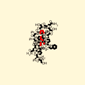 CC[C@H](C)[C@H](NC(=O)[C@H](CC(N)=O)NC(=O)[C@H](CCC(N)=O)NC(=O)[C@@H]1CCCN1C(=O)[C@H](CC(C)C)NC(=O)[C@@H](N)CO)C(=O)N1CCC[C@H]1C(=O)N1CCC[C@H]1C(=O)N[C@@H](CC(C)C)C(=O)N[C@H](C(=O)N[C@@H](CCC(N)=O)C(=O)N[C@H](C(=O)N1CCC[C@H]1C(=O)N[C@H](C(=O)N[C@H](C(=O)N[C@H](C(=O)N1CCC[C@H]1C(=O)N1CCC[C@H]1C(=O)N[C@@H](Cc1ccccc1)C(=O)O)C(C)C)C(C)C)C(C)C)[C@@H](C)O)[C@@H](C)O